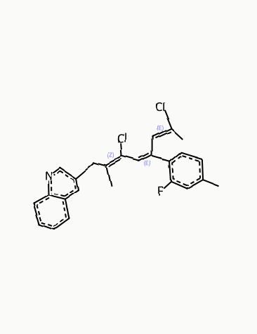 C\C(Cc1cnc2ccccc2c1)=C(Cl)/C=C(\C=C(/C)Cl)c1ccc(C)cc1F